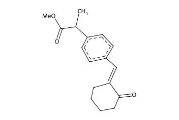 COC(=O)C(C)c1ccc(C=C2CCCCC2=O)cc1